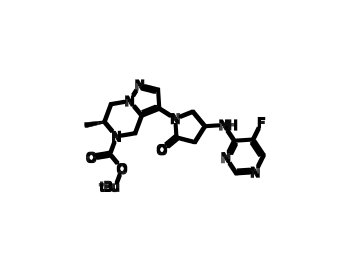 C[C@H]1Cn2ncc(N3CC(Nc4ncncc4F)CC3=O)c2CN1C(=O)OC(C)(C)C